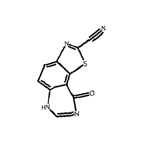 N#Cc1nc2ccc3[nH]cnc(=O)c3c2s1